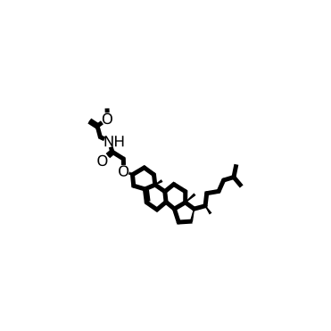 C=C(CNC(=O)CO[C@H]1CC[C@@]2(C)C(=CCC3C2CC[C@@]2(C)C3CC[C@@H]2[C@H](C)CCCC(C)C)C1)OC